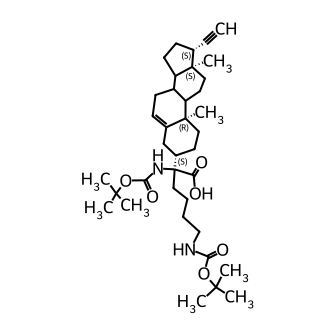 C#C[C@H]1CCC2C3CC=C4C[C@@H](C(CCCCNC(=O)OC(C)(C)C)(NC(=O)OC(C)(C)C)C(=O)O)CC[C@]4(C)C3CC[C@@]21C